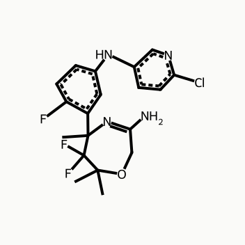 CC1(C)OCC(N)=NC(C)(c2cc(Nc3ccc(Cl)nc3)ccc2F)C1(F)F